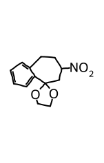 O=[N+]([O-])C1CCc2ccccc2C2(C1)OCCO2